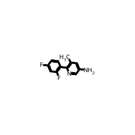 Cc1cc(N)cnc1-c1ccc(F)cc1F